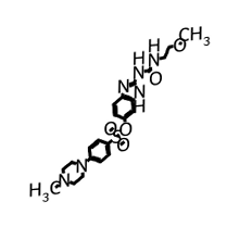 COCCNC(=O)Nc1nc2ccc(OS(=O)(=O)c3ccc(N4CCN(C)CC4)cc3)cc2[nH]1